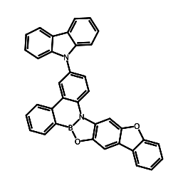 c1ccc2c(c1)B1Oc3cc4c(cc3N1c1ccc(-n3c5ccccc5c5ccccc53)cc1-2)oc1ccccc14